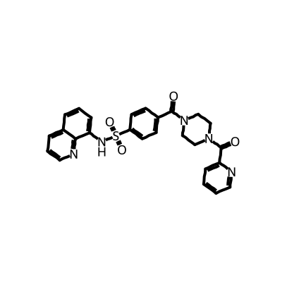 O=C(c1ccc(S(=O)(=O)Nc2cccc3cccnc23)cc1)N1CCN(C(=O)c2ccccn2)CC1